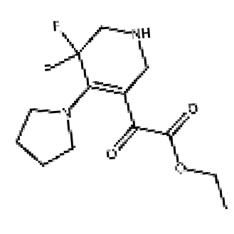 CCOC(=O)C(=O)C1=C(N2CCCC2)C(F)(F)CNC1